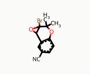 CC1(C)Oc2ccc(C#N)cc2C2OC21Br